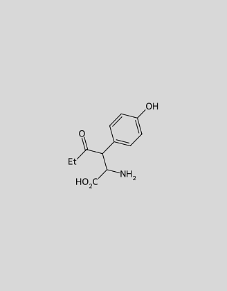 CCC(=O)C(c1ccc(O)cc1)C(N)C(=O)O